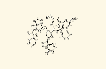 COc1ccc(C(OC[C@H]2O[C@@H](n3cnc4c(=O)[nH]cnc43)C[C@@H]2O[P@]2O[C@@H](CS(=O)(=O)c3ccccc3)[C@H]3CCCN32)(c2ccccc2)c2ccc(OC)cc2)cc1